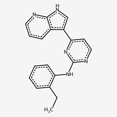 CCc1ccccc1Nc1nccc(-c2c[nH]c3ncccc23)n1